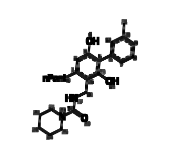 CCCCCc1cc(O)c(-c2cccc(C)c2)c(O)c1CNC(=O)N1CCCCC1